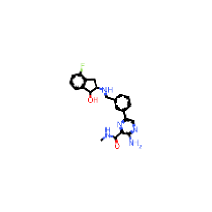 CNC(=O)c1nc(-c2cccc(CNC3Cc4c(F)cccc4C3O)c2)cnc1N